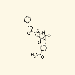 Cn1c(=O)n(Cc2ccc(C(N)=O)cc2)c(=O)c2cc(C(=O)OCc3ccccc3)sc21